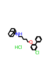 Cl.Clc1ccc(OCCCCCNC23CC4CC(CC(C4)C2)C3)c(-c2ccccc2)c1